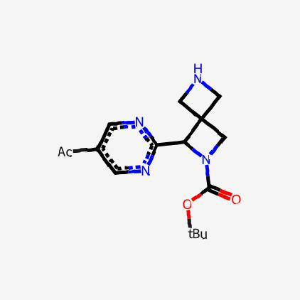 CC(=O)c1cnc(C2N(C(=O)OC(C)(C)C)CC23CNC3)nc1